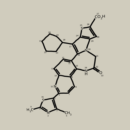 Cc1nc(C)c(-c2ccc3c4c(ccc3n2)-c2c(C3CCCCC3)c3sc(C(=O)O)cc3n2CC(=O)N4)s1